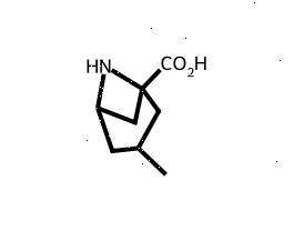 CC1CC2CC(C(=O)O)(C1)N2